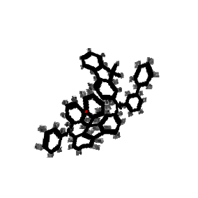 CC1(C)c2ccccc2-c2ccc(N(c3cccc(-c4ccccc4)c3)c3ccc4c(c3)C3(c5ccccc5)c5ccccc5N(c5ccccc5)c5cccc-4c53)cc21